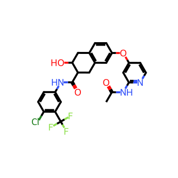 CC(=O)Nc1cc(Oc2ccc3c(c2)CC(C(=O)Nc2ccc(Cl)c(C(F)(F)F)c2)C(O)C3)ccn1